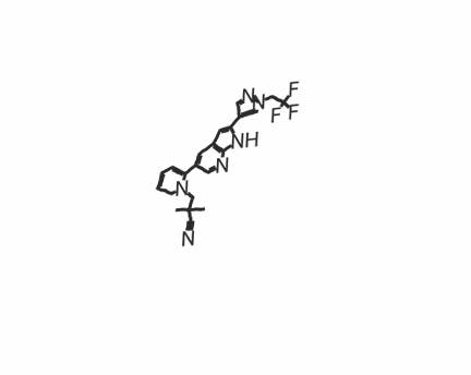 CC(C)(C#N)CN1CC=CC=C1c1cnc2[nH]c(-c3cnn(CC(F)(F)F)c3)cc2c1